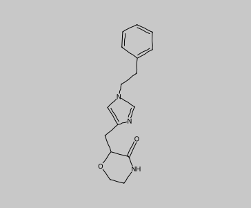 O=C1NCCOC1Cc1cn(CCc2ccccc2)cn1